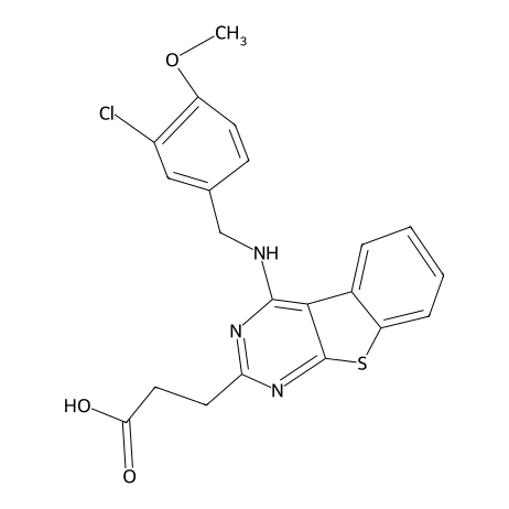 COc1ccc(CNc2nc(CCC(=O)O)nc3sc4ccccc4c23)cc1Cl